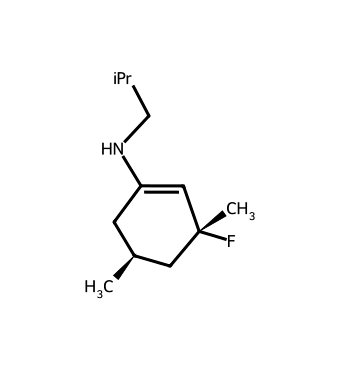 CC(C)CNC1=C[C@](C)(F)C[C@@H](C)C1